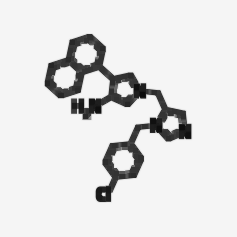 Nc1cn(Cc2cncn2Cc2ccc(Cl)cc2)cc1-c1cccc2ccccc12